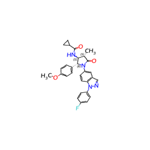 COc1ccc([C@@H]2[C@@H](NC(=O)C3CC3)[C@H](C)C(=O)N2c2ccc3c(cnn3-c3ccc(F)cc3)c2)cc1